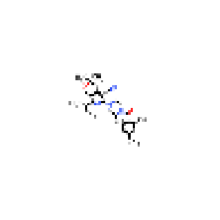 Cc1ccc(C(=O)N2CCN(c3nc(C(C)C)c4c(c3C#N)CC(C)(C)OC4)CC2C)c(C)c1